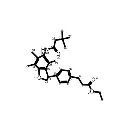 CCOC(=O)CCc1ccc(C2COc3c(C)c(C)c(NC(=O)CC(C)(C)C)c(C)c32)cc1